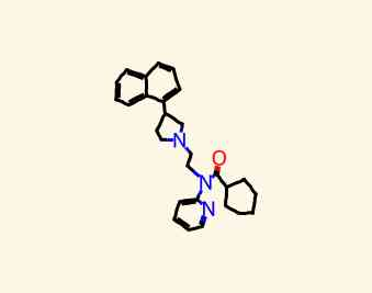 O=C(C1CCCCC1)N(CCN1CCC(c2cccc3ccccc23)C1)c1ccccn1